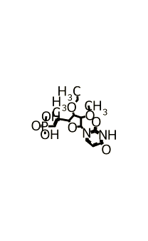 CCOC1C(/C(C)=C/P(=O)(O)O)OC(n2ccc(=O)[nH]c2=O)C1OC